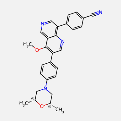 COc1c(-c2ccc(N3C[C@@H](C)O[C@@H](C)C3)cc2)cnc2c(-c3ccc(C#N)cc3)cncc12